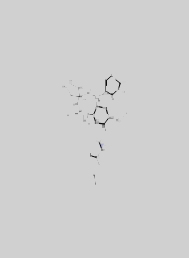 CCOC(=O)/C=C/Oc1cc2c(cc1SC)N(c1ccccc1)CC(CC)(CC)CS2(O)O